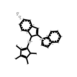 CC1=C(C)C(C)[C]([Hf+2][CH]2C(n3ccc4ccccc43)=Cc3ccccc32)=C1C.[Cl-].[Cl-]